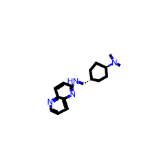 CN(C)[C@H]1CC[C@H](CNc2ccc3ncccc3n2)CC1